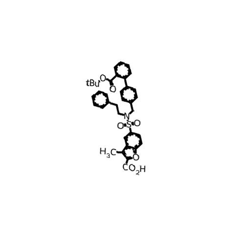 Cc1c(C(=O)O)oc2ccc(S(=O)(=O)N(CCc3ccccc3)Cc3ccc(-c4ccccc4C(=O)OC(C)(C)C)cc3)cc12